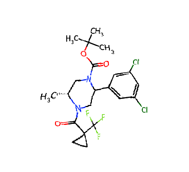 C[C@@H]1CN(C(=O)OC(C)(C)C)C(c2cc(Cl)cc(Cl)c2)CN1C(=O)C1(C(F)(F)F)CC1